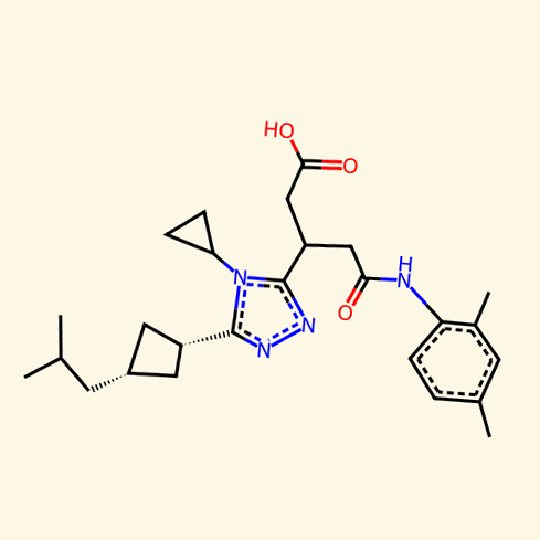 Cc1ccc(NC(=O)CC(CC(=O)O)c2nnc([C@H]3C[C@@H](CC(C)C)C3)n2C2CC2)c(C)c1